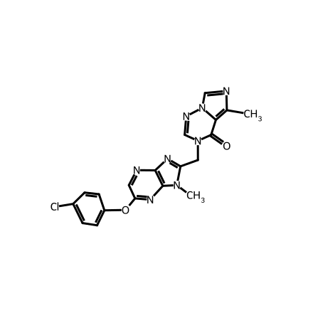 Cc1ncn2ncn(Cc3nc4ncc(Oc5ccc(Cl)cc5)nc4n3C)c(=O)c12